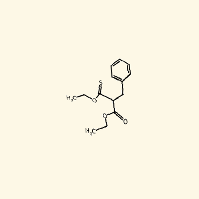 CCOC(=O)C(Cc1ccccc1)C(=S)OCC